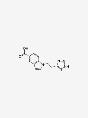 O=C(O)c1ccc2c(ccn2CCc2nn[nH]n2)c1